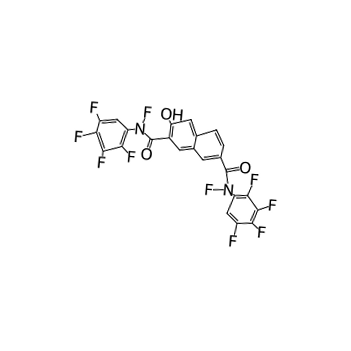 O=C(c1ccc2cc(O)c(C(=O)N(F)c3cc(F)c(F)c(F)c3F)cc2c1)N(F)c1cc(F)c(F)c(F)c1F